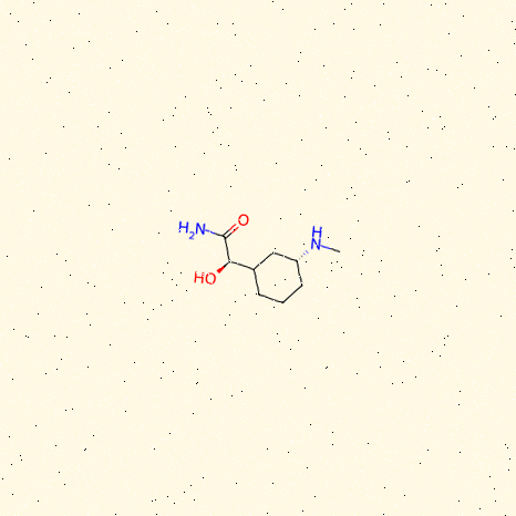 CN[C@@H]1CCCC([C@@H](O)C(N)=O)C1